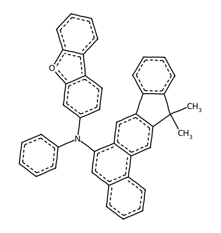 CC1(C)c2ccccc2-c2cc3c(N(c4ccccc4)c4ccc5c(c4)oc4ccccc45)cc4ccccc4c3cc21